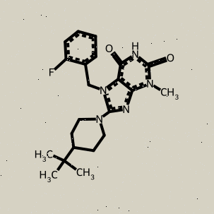 Cn1c(=O)[nH]c(=O)c2c1nc(N1CCC(C(C)(C)C)CC1)n2Cc1ccccc1F